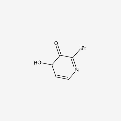 CC(C)C1=NC=CC(O)C1=O